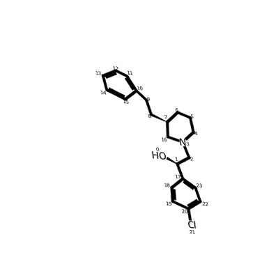 O[C@@H](CN1CCC[C@H](CCc2ccccc2)C1)c1ccc(Cl)cc1